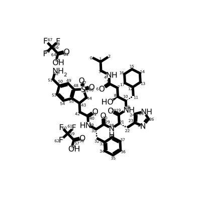 CC(C)CNC(=O)C[C@H](O)[C@H](CC1CCCCC1)NC(=O)[C@H](Cc1c[nH]cn1)NC(=O)[C@H](Cc1ccccc1)NC(=O)CC1CS(=O)(=O)c2cc(CN)ccc21.O=C(O)C(F)(F)F.O=C(O)C(F)(F)F